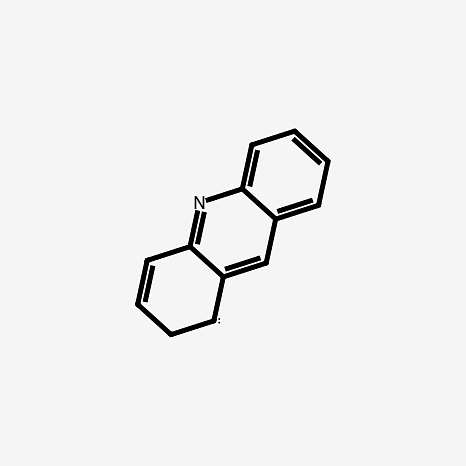 [C]1CC=Cc2nc3ccccc3cc21